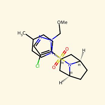 COCn1ncc(Cl)c1S(=O)(=O)N1[C@@H]2CC[C@H]1C[C@H](N1CCC(C)CC1)C2